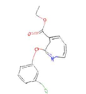 CCOC(=O)c1cccnc1Oc1cccc(Cl)c1